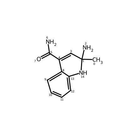 CC1(N)C=C(C(N)=O)c2ccccc2N1